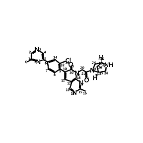 Cc1cncc(-c2ccc(-c3cc4cnc(C)nc4n(CC(=O)N4C[C@@H]5C[C@H]4CN5)c3=O)c(Cl)c2)n1